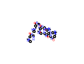 CN(C(=O)c1ccc(Cn2cnc3ccccc32)cc1)[C@@H]1CCNC1.Cc1nc2ccccc2n1-c1ccc(C(=O)N(C)C2CCNCC2)cc1.Cc1nc2ccccc2n1-c1ccc(C(=O)N(C)[C@H]2CCNC2)cc1.Cc1nc2ccccc2n1Cc1ccc(C(=O)N(C)C2CCNCC2)cc1.Cc1nc2ccccc2n1Cc1ccc(C(=O)N(C)[C@@H]2CCNC2)cc1